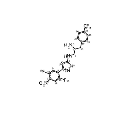 N[C@H](CNc1nnc(-c2cc(F)c([N+](=O)[O-])cc2F)s1)Cc1ccc(C(F)(F)F)cc1